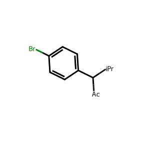 CC(=O)C(c1ccc(Br)cc1)C(C)C